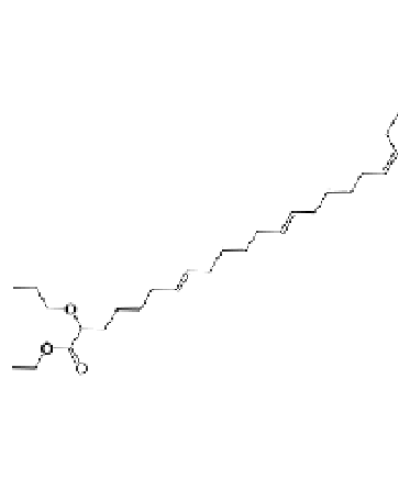 CC/C=C\CC=CCC=CCC=CCC=CCC=CCC(OCCC)C(=O)OCC